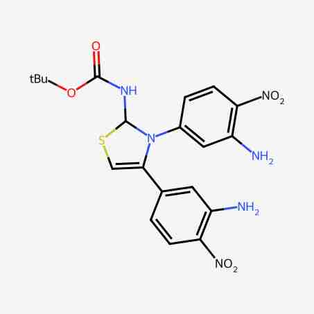 CC(C)(C)OC(=O)NC1SC=C(c2ccc([N+](=O)[O-])c(N)c2)N1c1ccc([N+](=O)[O-])c(N)c1